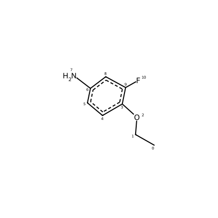 CCOc1ccc(N)cc1F